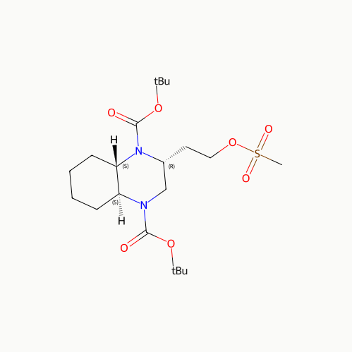 CC(C)(C)OC(=O)N1C[C@@H](CCOS(C)(=O)=O)N(C(=O)OC(C)(C)C)[C@H]2CCCC[C@@H]21